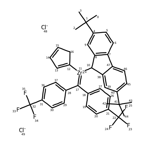 CC(C)(C)c1ccc2c(c1)[CH]([Zr+2]([C]1=CC=CC1)=[C](c1ccc(C(F)(F)F)cc1)c1ccc(C(F)(F)F)cc1)c1cc(C(C)(C)C)ccc1-2.[Cl-].[Cl-]